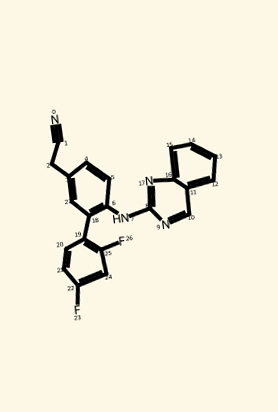 N#CCc1ccc(Nc2ncc3ccccc3n2)c(-c2ccc(F)cc2F)c1